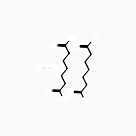 O=C([O-])CCCCCC(=O)[O-].O=C([O-])CCCCCC(=O)[O-].[Cu+2].[Zn+2]